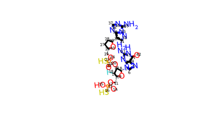 Nc1nc2c(ncn2[C@@H]2O[C@H](COP(=O)(O)S)[C@@H](F)[C@H]2OP(=O)(S)OC[C@@H]2CC[C@H](c3cnn4c(N)ncnc34)O2)c(=O)[nH]1